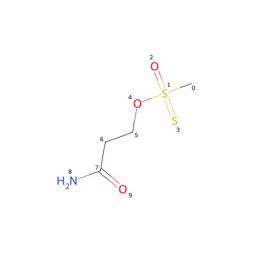 CS(=O)(=S)OCCC(N)=O